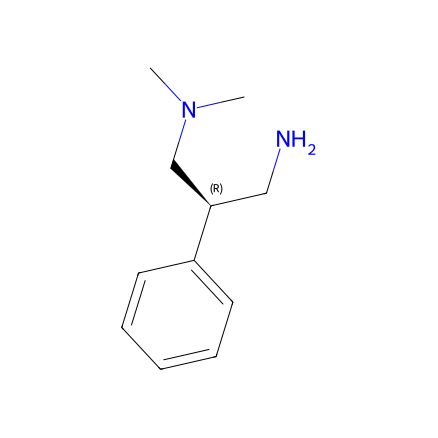 CN(C)C[C@@H](CN)c1ccccc1